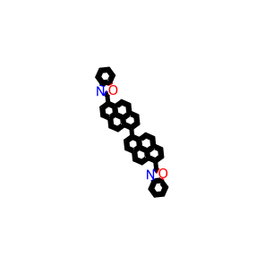 c1ccc2oc(-c3ccc4ccc5c(-c6ccc7ccc8c(-c9nc%10ccccc%10o9)ccc9ccc6c7c98)ccc6ccc3c4c65)nc2c1